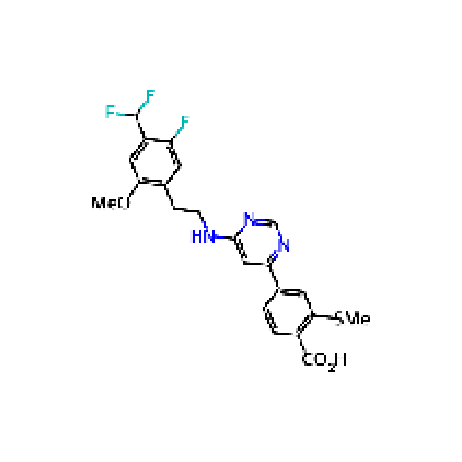 COc1cc(C(F)F)c(F)cc1CCNc1cc(-c2ccc(C(=O)O)c(SC)c2)ncn1